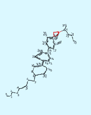 CCCCCCCCC1CC=C(c2ccc(-c3ccc(OC(C)CCC)cc3)cc2)CC1